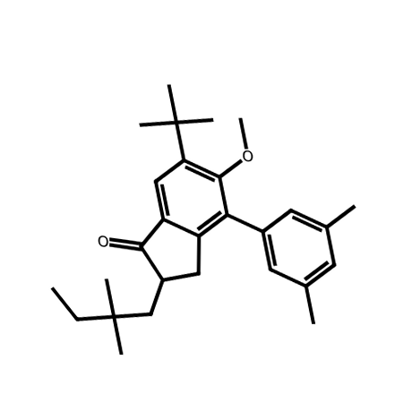 CCC(C)(C)CC1Cc2c(cc(C(C)(C)C)c(OC)c2-c2cc(C)cc(C)c2)C1=O